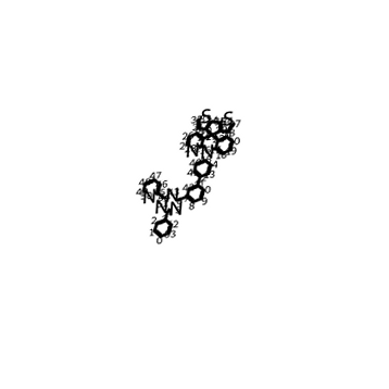 c1ccc(-c2nc(-c3cccc(-c4ccc(N5c6ccccc6C6(c7cccnc75)c5ccsc5-c5sccc56)cc4)c3)nc(-c3ccccn3)n2)cc1